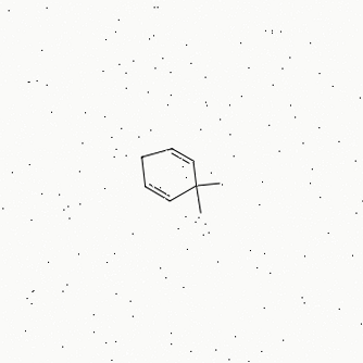 CC1(C)C=CCC=C1